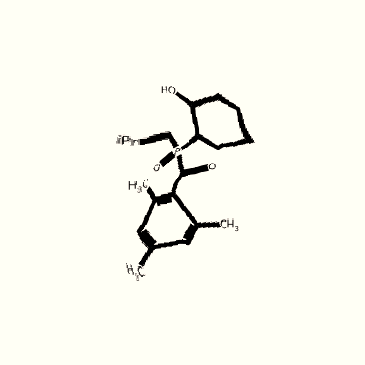 Cc1cc(C)c(C(=O)P(=O)(CC(C)C)C2CCCCC2O)c(C)c1